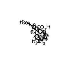 CC1CCC(C(=O)N(c2cc(C#CC(C)(C)C)sc2C(=O)O)C2CCC(Oc3cc(CN(C)C)ccn3)CC2)CC1